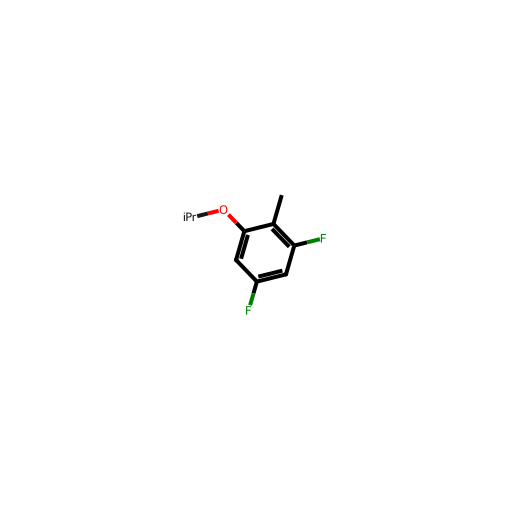 Cc1c(F)cc(F)cc1OC(C)C